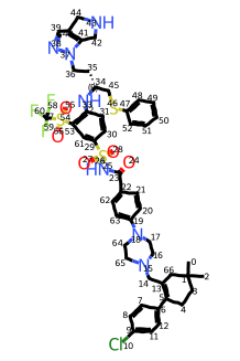 CC1(C)CCC(c2ccc(Cl)cc2)=C(CN2CCN(c3ccc(C(=O)NS(=O)(=O)c4ccc(N[C@H](CCn5ncc6c5CNC6)CSc5ccccc5)c(S(=O)(=O)C(F)(F)F)c4)cc3)CC2)C1